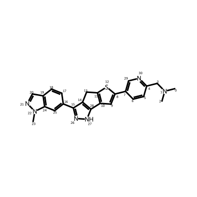 CN(C)Cc1ccc(-c2cc3c(s2)Cc2c(-c4ccc5cnn(C)c5c4)n[nH]c2-3)cn1